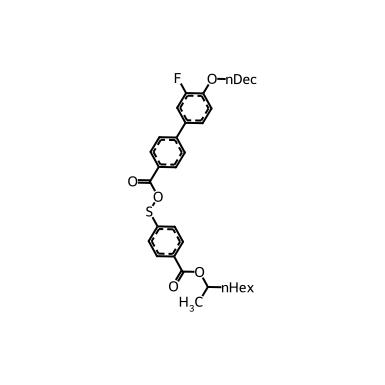 CCCCCCCCCCOc1ccc(-c2ccc(C(=O)OSc3ccc(C(=O)OC(C)CCCCCC)cc3)cc2)cc1F